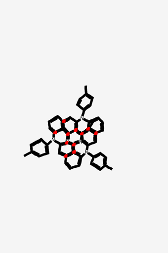 Cc1ccc(N(c2ccc(C)cc2)c2ccccc2-c2nc(-c3ccccc3N(c3ccc(C)cc3)c3ccc(C)cc3)nc(-c3ccccc3N(c3ccc(C)cc3)c3ccc(C)cc3)n2)cc1